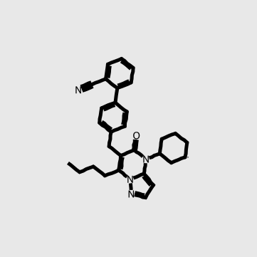 CCCCc1c(Cc2ccc(-c3ccccc3C#N)cc2)c(=O)n(C2C[CH]CCC2)c2ccnn12